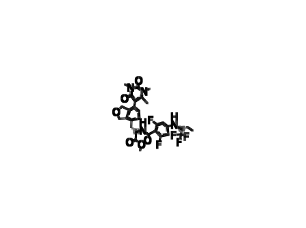 CC[C@@H](Nc1cc(F)c(C(=O)N[C@@H](Cc2ccc(-c3c(C)n(C)c(=O)n(C)c3=O)c3c2COC3)C(=O)OC)c(F)c1)C(F)(F)F